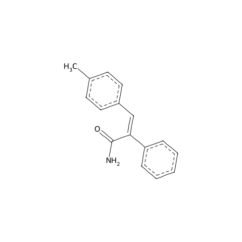 Cc1ccc(C=C(C(N)=O)c2ccccc2)cc1